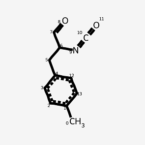 Cc1ccc(CC(C=O)N=C=O)cc1